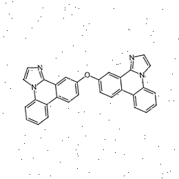 c1ccc2c(c1)c1ccc(Oc3ccc4c5ccccc5n5ccnc5c4c3)cc1c1nccn21